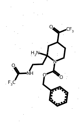 NC1(CCNC(=O)C(F)(F)F)CC(C(=O)C(F)(F)F)CCN1C(=O)OCc1ccccc1